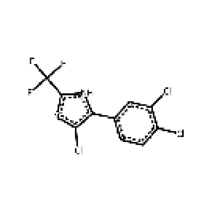 FC(F)(F)c1nc(Cl)c(-c2ccc(Cl)c(Cl)c2)[nH]1